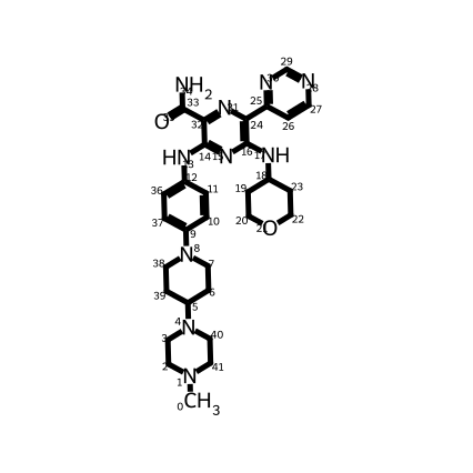 CN1CCN(C2CCN(c3ccc(Nc4nc(NC5CCOCC5)c(-c5ccncn5)nc4C(N)=O)cc3)CC2)CC1